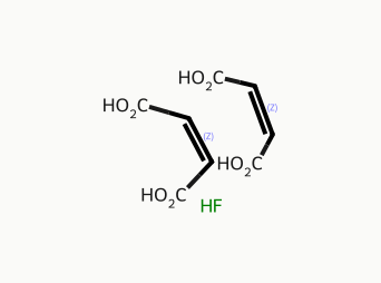 F.O=C(O)/C=C\C(=O)O.O=C(O)/C=C\C(=O)O